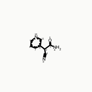 N#C[C](C(N)=O)c1cccnc1